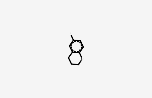 Fc1ccc2c(c1)CC[C]O2